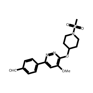 COc1cc(-c2ccc(C=O)cc2)nnc1OC1CCN(S(C)(=O)=O)CC1